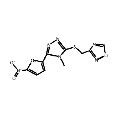 Cn1c(SCc2ncon2)nnc1-c1ccc([N+](=O)[O-])o1